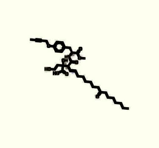 CC#CCOc1ccc(C[C@H](NC(=O)[C@@H](/C=C/CCCCCCC(=O)CCCCCCC)[C@@](O)(CCO)C(=O)O)C(=O)OC)cc1